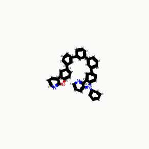 c1ccc(-n2c3ccc(-c4cccc(-c5cccc(-c6cccc(-c7ccc8oc9ncccc9c8c7)c6)c5)c4)cc3c3ncccc32)cc1